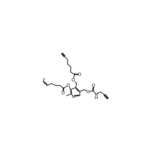 C#CCCCCC(=O)OCc1c(COC(=O)NCC#C)cnc(C)c1OC(=O)CCC/C=C\C